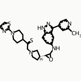 Cc1cc(-c2n[nH]c3ccc(NC4OC4[C@@H]4CCN(CC(=S)C5CCN(c6nccs6)CC5)C4)cc23)ccn1